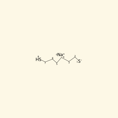 [Na+].[S-]CCCCCCS